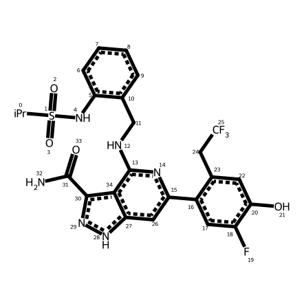 CC(C)S(=O)(=O)Nc1ccccc1CNc1nc(-c2cc(F)c(O)cc2CC(F)(F)F)cc2[nH]nc(C(N)=O)c12